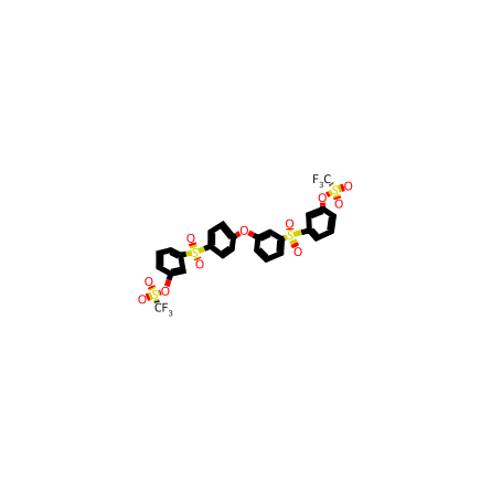 O=S(=O)(c1ccc(Oc2cccc(S(=O)(=O)c3cccc(OS(=O)(=O)C(F)(F)F)c3)c2)cc1)c1cccc(OS(=O)(=O)C(F)(F)F)c1